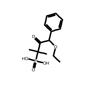 CCOC(C(=O)C(C)(C)P(=O)(O)O)c1ccccc1